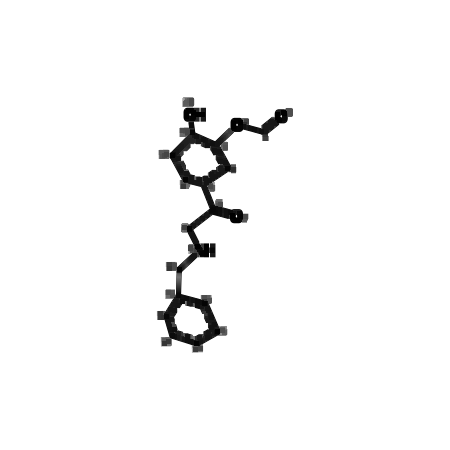 O=COc1cc(C(=O)CNCc2ccccc2)ccc1O